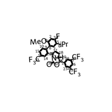 COc1cc(F)c(C(C)C)cc1-c1ccc(C(F)(F)F)cc1[C@@H]1C=CC2(I)[C@@H](c3cc(C(F)(F)F)cc(C(F)(F)F)c3)OC(=O)N12